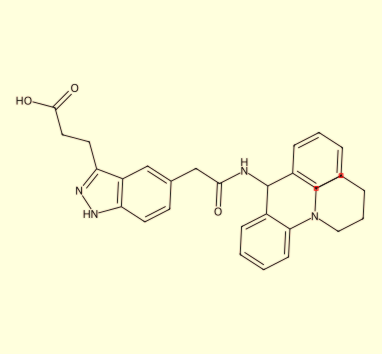 O=C(O)CCc1n[nH]c2ccc(CC(=O)NC(c3ccccc3)c3ccccc3N3CCCCC3)cc12